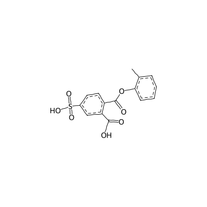 Cc1ccccc1OC(=O)c1ccc(S(=O)(=O)O)cc1C(=O)O